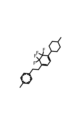 Cc1ccc(CCC2=CC=C(C3CCC(C)CC3)C(F)(F)C2(F)F)cc1